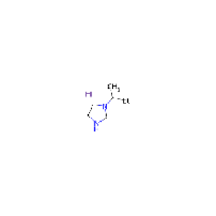 CCC(C)N1CCNC1.I